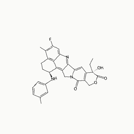 CC[C@@]1(O)C(=O)OCc2c1cc1n(c2=O)Cc2c-1nc1cc(F)c(C)c3c1c2[C@@H](Nc1cccc(C)c1)CC3